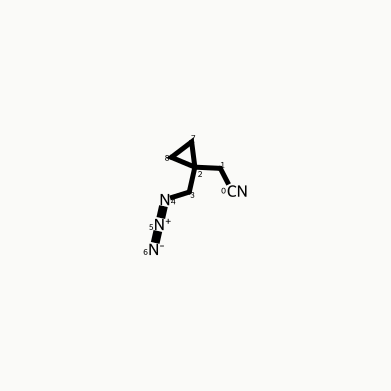 N#CCC1(CN=[N+]=[N-])CC1